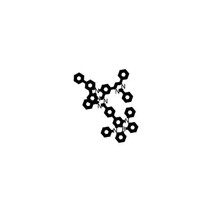 c1ccc(-c2ccc3c(c2)c2ccccc2n3-c2ccc(-c3cc(-c4ccccc4)nc(-c4ccccc4)n3)cc2-c2nc(-c3ccccc3)nc(-c3ccc(-c4cc5c6c(c4)N(c4ccccc4)c4ccccc4B6c4ccccc4N5c4ccccc4)cc3)n2)cc1